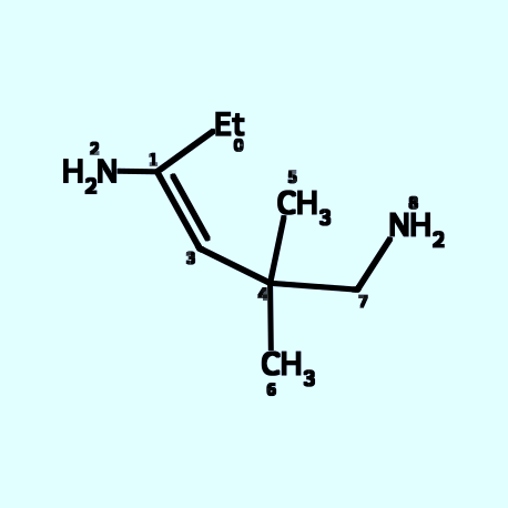 CC/C(N)=C\C(C)(C)CN